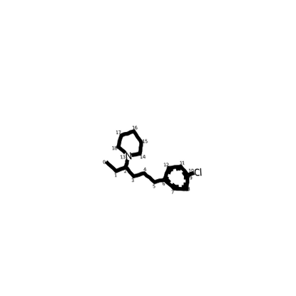 [CH2]CC(CCCc1ccc(Cl)cc1)N1CCCCC1